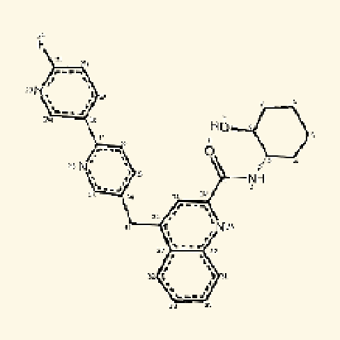 O=C(N[C@H]1CCCC[C@@H]1O)c1cc(Cc2ccc(-c3ccc(F)nc3)nc2)c2ccccc2n1